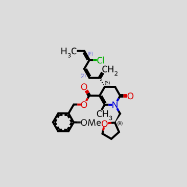 C=C(/C=C\C(Cl)=C/C)[C@@H]1CC(=O)N(C[C@H]2CCCO2)C(C)=C1C(=O)OCc1ccccc1OC